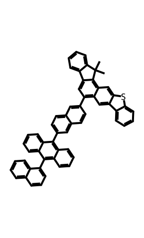 CC1(C)c2ccccc2-c2cc(-c3ccc4cc(-c5c6ccccc6c(-c6cccc7ccccc67)c6ccccc56)ccc4c3)c3cc4c(cc3c21)sc1ccccc14